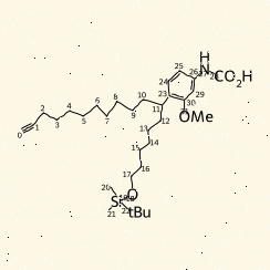 C#CCCCCCCCCCC(CCCCCCO[Si](C)(C)C(C)(C)C)c1ccc(NC(=O)O)cc1OC